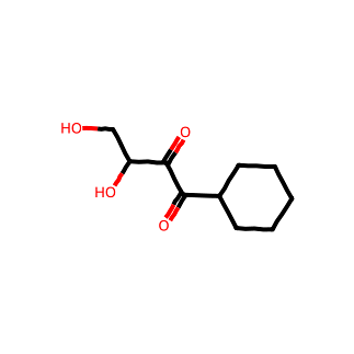 O=C(C(=O)C1CCCCC1)C(O)CO